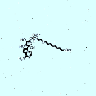 CCCCCCCCCCCCCCCCCCOCCOP(=O)(OC)O[C@H]1O[C@@](C#N)(c2ccc3c(N)ncnn23)[C@H](O)[C@@H]1O